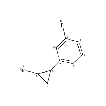 Fc1[c]ccc(C2CC2Br)c1